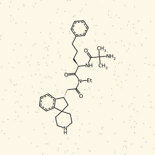 CCN(C(=O)C[C@@H]1CC2(CCNCC2)c2ccccc21)C(=O)[C@@H](CCCc1ccccc1)NC(=O)C(C)(C)N